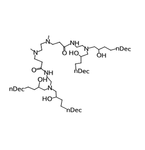 CCCCCCCCCCCCC(O)CN(CCNC(=O)CCN(C)CCN(C)CCC(=O)NCCN(CC(O)CCCCCCCCCCCC)CC(O)CCCCCCCCCCCC)CC(O)CCCCCCCCCCCC